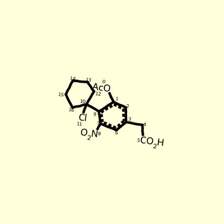 CC(=O)Oc1cc(CC(=O)O)cc([N+](=O)[O-])c1C1(Cl)CCCCC1